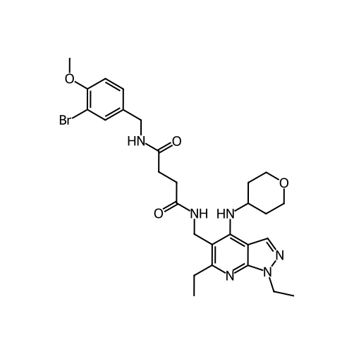 CCc1nc2c(cnn2CC)c(NC2CCOCC2)c1CNC(=O)CCC(=O)NCc1ccc(OC)c(Br)c1